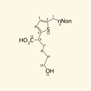 CCCCCCCCCCc1ccc(C(CCCCO)C(=O)O)s1